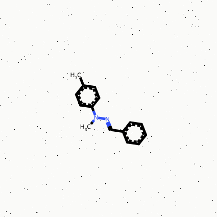 Cc1ccc(N(C)/N=C/c2ccccc2)cc1